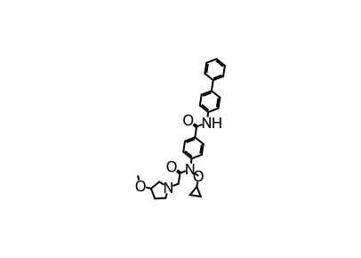 COC1CCN(CC(=O)N(OC2CC2)c2ccc(C(=O)Nc3ccc(-c4ccccc4)cc3)cc2)C1